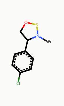 CC(C)N1SOCC1c1ccc(Cl)cc1